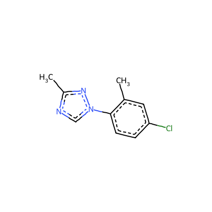 Cc1ncn(-c2ccc(Cl)cc2C)n1